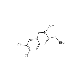 CCCN(Cc1ccc(Cl)c(Cl)c1)C(=O)CC(C)(C)C